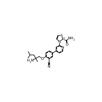 CC(C)CC(C)(N)COc1ccc(-c2ccnc(N3C=CS[C@H]3C(N)=O)c2)cc1C#N